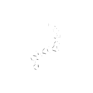 Cc1cc(NC(=O)c2cccn(-c3ccccc3)c2=O)ccc1Oc1ccnc2cnc(C(=O)NC3CCN(C)CC3)cc12